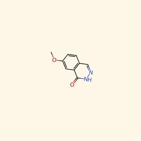 COc1ccc2cn[nH]c(=O)c2c1